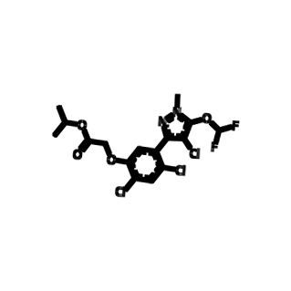 CC(C)OC(=O)COc1cc(-c2nn(C)c(OC(F)F)c2Cl)c(Cl)cc1Cl